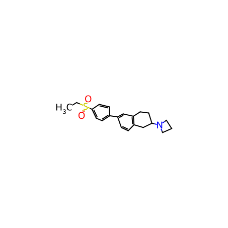 CCS(=O)(=O)c1ccc(-c2ccc3c(c2)CCC(N2CCC2)C3)cc1